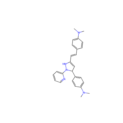 CN(C)c1ccc(C=CC2=CC(c3ccc(N(C)C)cc3)N(c3ccccn3)N2)cc1